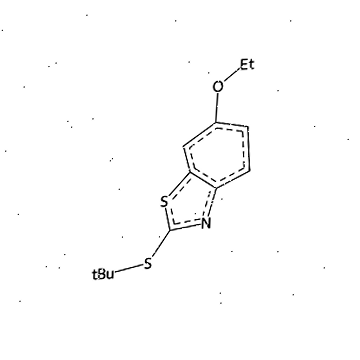 CCOc1ccc2nc(SC(C)(C)C)sc2c1